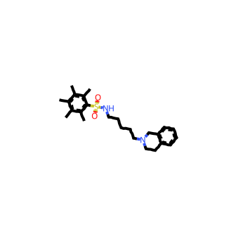 Cc1c(C)c(C)c(S(=O)(=O)NCCCCCN2CCc3ccccc3C2)c(C)c1C